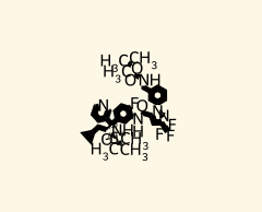 CC(C)(C)OC(=O)NCc1cccc(-n2nc(C(F)(F)F)cc2C(=O)Nc2cc([C@](CCC3CC3)(N[S@@+]([O-])C(C)(C)C)c3cccnc3)ccc2F)c1